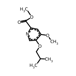 COC(=O)c1cc(OC)c(OCC(C)C)cn1